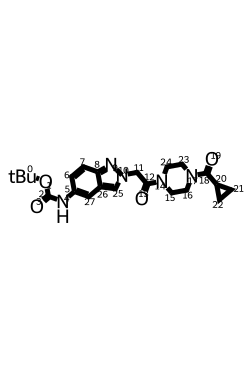 CC(C)(C)OC(=O)Nc1ccc2nn(CC(=O)N3CCN(C(=O)C4CC4)CC3)cc2c1